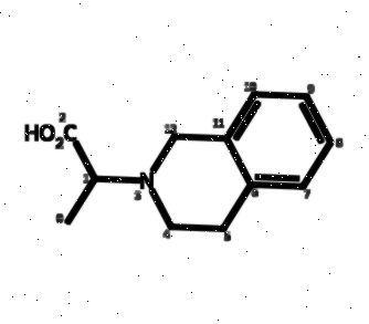 CC(C(=O)O)N1CCc2ccccc2C1